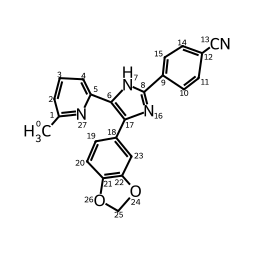 Cc1cccc(-c2[nH]c(-c3ccc(C#N)cc3)nc2-c2ccc3c(c2)OCO3)n1